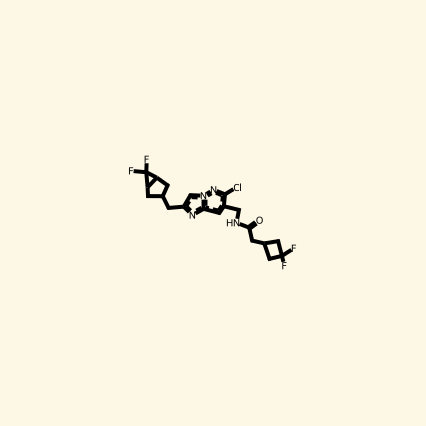 O=C(CC1CC(F)(F)C1)NCc1cc2nc(CC3CC4C(C3)C4(F)F)cn2nc1Cl